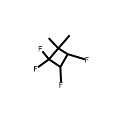 CC1(C)C(F)C(F)C1(F)F